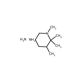 CC1CCCN(C)C1(C)C.N.N